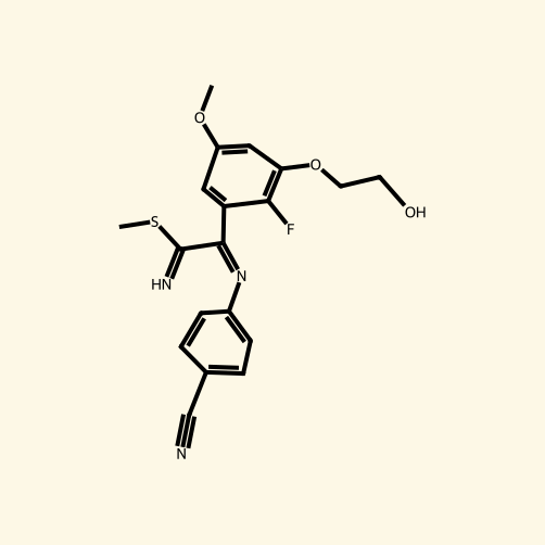 COc1cc(OCCO)c(F)c(C(=Nc2ccc(C#N)cc2)C(=N)SC)c1